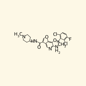 C[C@@H](Oc1c(N)ncc2c(C(=O)NCC3CCN(C)CC3)coc12)c1c(Cl)ccc(F)c1Cl